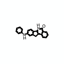 O=c1[nH]c2c(c3ccccc13)Cc1cc(Nc3ccccc3)ccc1-2